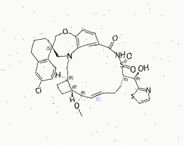 CO[C@H]1/C=C/CC[C@@H]([C@@H](O)c2nccs2)S(=O)(=O)NC(=O)c2ccc3c(c2)N(C[C@@H]2CC[C@H]21)C[C@@]1(CCCc2cc(Cl)ccc21)CO3